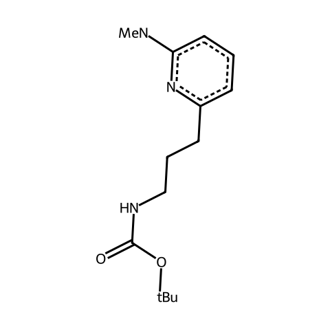 CNc1cccc(CCCNC(=O)OC(C)(C)C)n1